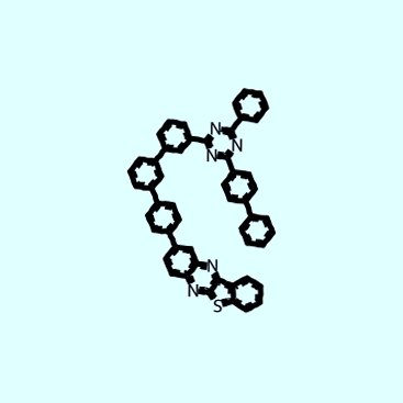 c1ccc(-c2ccc(-c3nc(-c4ccccc4)nc(-c4cccc(-c5cccc(-c6ccc(-c7ccc8nc9sc%10ccccc%10c9nc8c7)cc6)c5)c4)n3)cc2)cc1